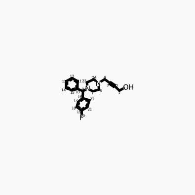 OCC#CCN1CCN(C(c2ccccc2)c2ccc(F)cc2)CC1